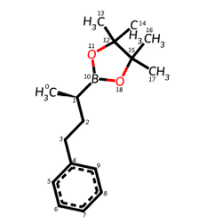 C[C@H](CCc1ccccc1)B1OC(C)(C)C(C)(C)O1